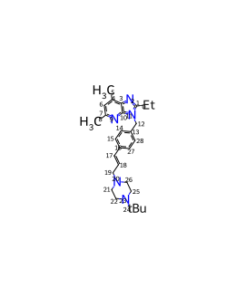 CCc1nc2c(C)cc(C)nc2n1Cc1ccc(/C=C/CN2CCN(C(C)(C)C)CC2)cc1